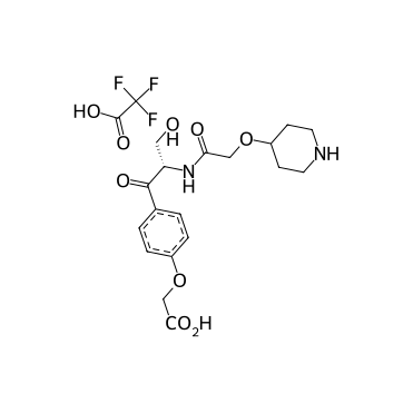 O=C(O)C(F)(F)F.O=C(O)COc1ccc(C(=O)[C@H](CO)NC(=O)COC2CCNCC2)cc1